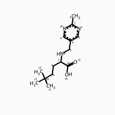 Cc1ncc(CNC(CCC(C)(C)C)C(=O)O)cn1